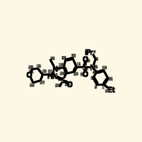 CCc1ccc(N(CC(C)C)S(=O)(=O)c2ccc(N(C)CC3CCOCC3)c(S(C)(=N)=O)c2)cc1